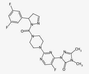 Cc1nn(-c2nc(N3CCN(C(=O)N4N=CCC4c4cc(F)cc(F)c4)CC3)ncc2F)c(=O)n1C